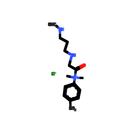 C[N+](C)(C(=O)CNCCCNC=O)c1ccc([N+](=O)[O-])cc1.[Cl-]